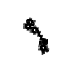 O=S(=O)(NCCCCN1CCN(c2cccc3c2OCCO3)CC1)c1ccc(F)c(F)c1